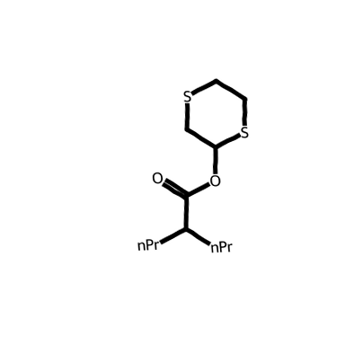 CCCC(CCC)C(=O)OC1CSCCS1